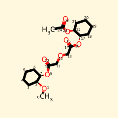 CO[C@H]1CCCC[C@@H]1OC(=O)COCC(=O)O[C@H]1CCCC[C@@H]1OC(C)=O